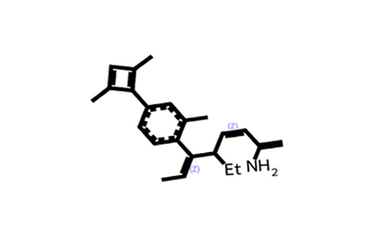 C=C(N)/C=C\C(CC)/C(=C/C)c1ccc(C2=C(C)C=C2C)cc1C